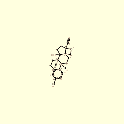 C#C[C@]12CC[C@H]3[C@@H]4CCc5cc(O)ccc5[C@H]4CC[C@@]31CO2